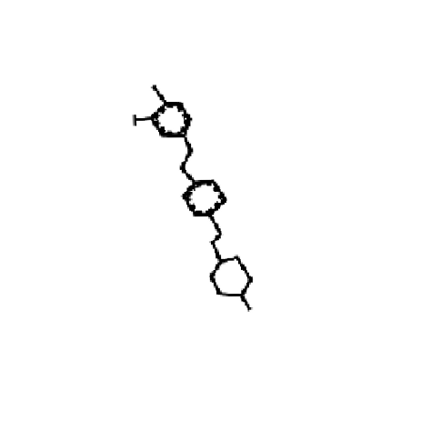 Cc1ccc(CCc2ccc(CCC3CCC(C)CC3)cc2)cc1I